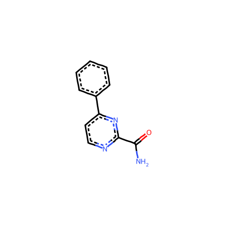 NC(=O)c1nccc(-c2ccccc2)n1